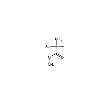 CC(=O)C(C)(N)C(=O)ON